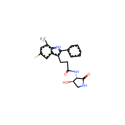 O=C(CCc1c(-c2ccccc2)[nH]c2c(C(F)(F)F)cc(F)cc12)N[C@@H]1C(=O)NC[C@H]1O